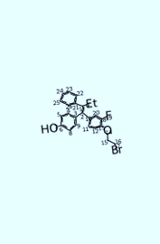 CC/C(=C(/c1ccc(O)cc1)c1ccc(OCCBr)c(F)c1)c1ccccc1